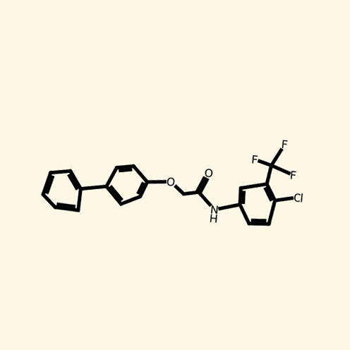 O=C(COc1ccc(-c2ccccc2)cc1)Nc1ccc(Cl)c(C(F)(F)F)c1